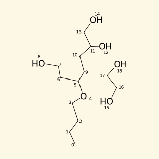 CCCCOC(CCO)CCC(O)CO.OCCO